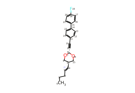 CCC/C=C/[C@H]1CO[C@H](C#Cc2ccc(-c3ccc(F)cc3)cc2)OC1